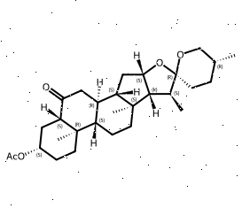 CC(=O)O[C@H]1CC[C@@]2(C)[C@H](C1)C(=O)C[C@@H]1[C@@H]2CC[C@]2(C)[C@@H]3[C@H](C[C@@H]12)O[C@]1(CC[C@@H](C)CO1)[C@H]3C